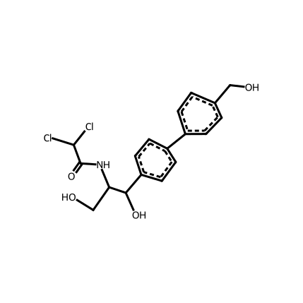 O=C(NC(CO)C(O)c1ccc(-c2ccc(CO)cc2)cc1)C(Cl)Cl